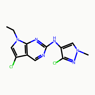 CCn1cc(Cl)c2cnc(Nc3cn(C)nc3Cl)nc21